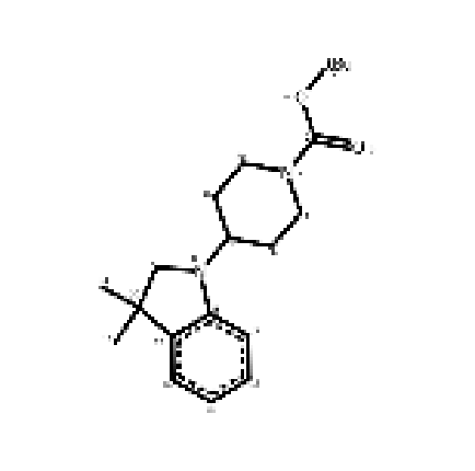 CC(C)(C)OC(=O)N1CCC(N2CC(C)(C)c3ccccc32)CC1